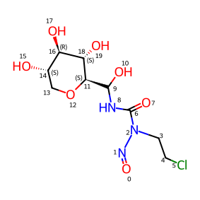 O=NN(CCCl)C(=O)NC(O)[C@H]1OC[C@H](O)[C@@H](O)[C@@H]1O